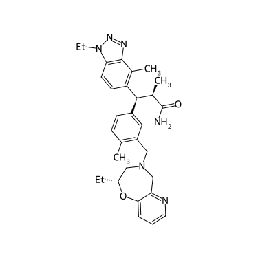 CC[C@@H]1CN(Cc2cc([C@@H](c3ccc4c(nnn4CC)c3C)[C@@H](C)C(N)=O)ccc2C)Cc2ncccc2O1